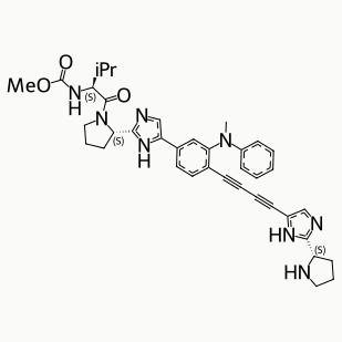 COC(=O)N[C@H](C(=O)N1CCC[C@H]1c1ncc(-c2ccc(C#CC#Cc3cnc([C@@H]4CCCN4)[nH]3)c(N(C)c3ccccc3)c2)[nH]1)C(C)C